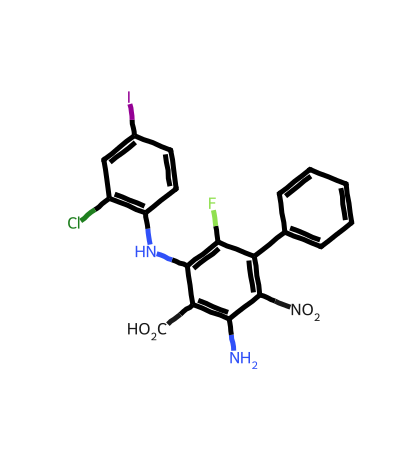 Nc1c(C(=O)O)c(Nc2ccc(I)cc2Cl)c(F)c(-c2ccccc2)c1[N+](=O)[O-]